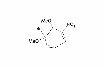 COC1C([N+](=O)[O-])=CC=CC1(Br)OC